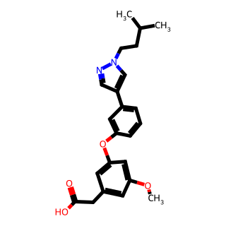 COc1cc(CC(=O)O)cc(Oc2cccc(-c3cnn(CCC(C)C)c3)c2)c1